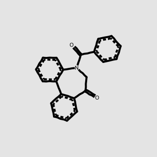 O=C1CN(C(=O)c2ccccc2)c2ccccc2-c2ccccc21